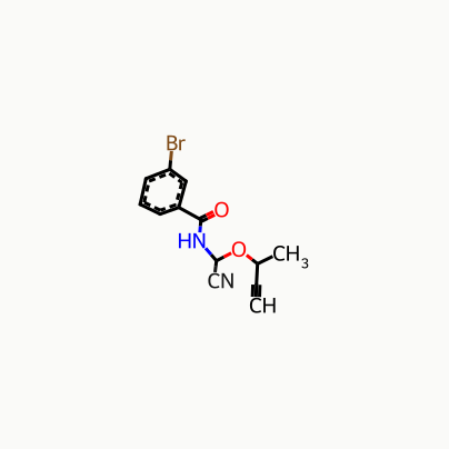 C#CC(C)OC(C#N)NC(=O)c1cccc(Br)c1